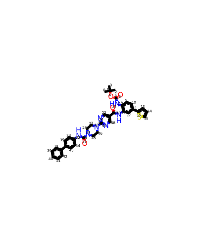 CC(C)(C)OC(=O)Nc1ccc(-c2cccs2)cc1NC(=O)c1cnc(N2CCN(C(=O)Nc3ccc(-c4ccccc4)cc3)CC2)nc1